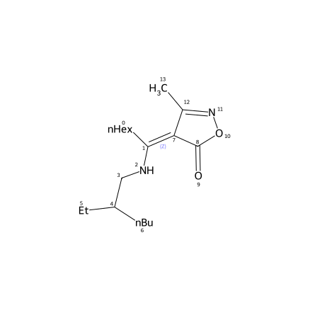 CCCCCC/C(NCC(CC)CCCC)=C1/C(=O)ON=C1C